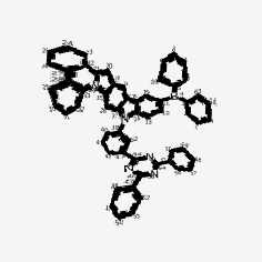 c1ccc(B(c2ccccc2)c2ccc3c(c2)c2cc4cc5c6ccccc6c6ccccc6n5c4cc2n3-c2cccc(-c3nc(-c4ccccc4)nc(-c4ccccc4)n3)c2)cc1